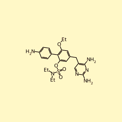 CCOc1cc(Cc2cnc(N)nc2N)cc(OS(=O)(=O)N(CC)CC)c1-c1ccc(N)cc1